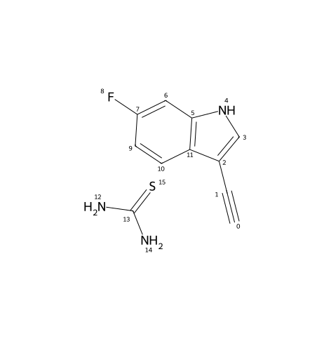 C#Cc1c[nH]c2cc(F)ccc12.NC(N)=S